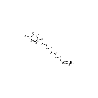 CCOC(=O)CCCCCCCC=CCc1ccc(I)cc1